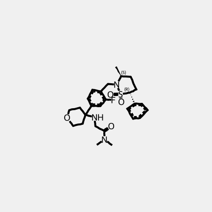 C[C@H]1CC[C@H](c2ccccc2)S(=O)(=O)N1Cc1ccc(C2(NCC(=O)N(C)C)CCOCC2)cc1F